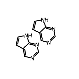 c1ncc2cc[nH]c2n1.c1ncc2cc[nH]c2n1